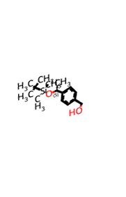 C[C@H](O[Si](C)(C)C(C)(C)C)c1ccc(CO)cc1